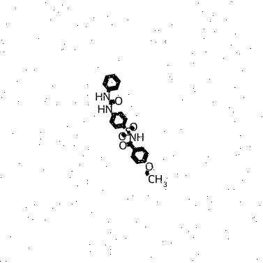 CCOc1ccc(C(=O)NS(=O)(=O)c2ccc(NC(=O)Nc3ccccc3)cc2)cc1